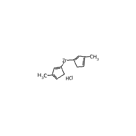 CC1=CC[C]([Zr][C]2=CC(C)=CC2)=C1.Cl